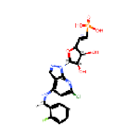 C[C@H](Nc1cc(Cl)nc2c1cnn2[C@@H]1OC(/C=C/P(=O)(O)O)[C@@H](O)[C@H]1O)c1ccccc1F